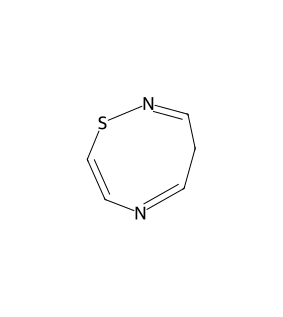 C1=CSN=CCC=N1